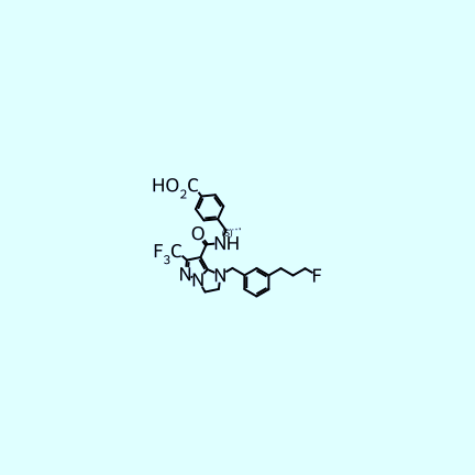 C[C@H](NC(=O)c1c(C(F)(F)F)nn2c1N(Cc1cccc(CCCF)c1)CC2)c1ccc(C(=O)O)cc1